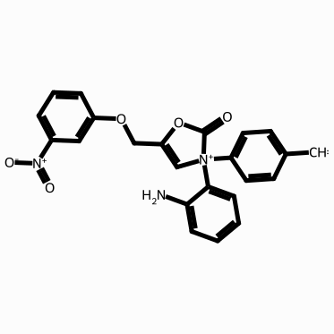 [CH]c1ccc([N+]2(c3ccccc3N)C=C(COc3cccc([N+](=O)[O-])c3)OC2=O)cc1